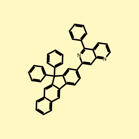 c1ccc(-c2nc(-c3ccc4c(c3)C(c3ccccc3)(c3ccccc3)c3cc5ccccc5cc3-4)cc3ncccc23)cc1